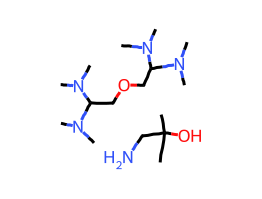 CC(C)(O)CN.CN(C)C(COCC(N(C)C)N(C)C)N(C)C